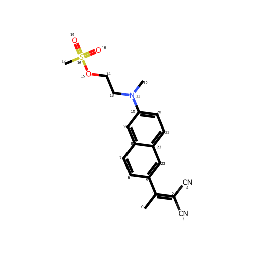 CC(=C(C#N)C#N)c1ccc2cc(N(C)CCOS(C)(=O)=O)ccc2c1